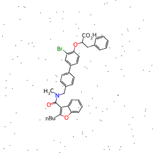 CCCCc1oc2ccccc2c1C(=O)N(C)Cc1ccc(-c2ccc(OC(Cc3ccccc3)C(=O)O)c(Br)c2)cc1